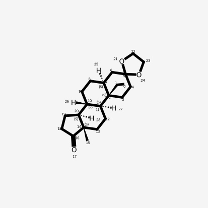 CC[C@]12CCC3(C[C@@H]1CC[C@@H]1[C@@H]2CC[C@]2(C)C(=O)CC[C@@H]12)OCCO3